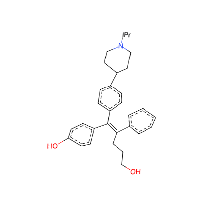 CC(C)N1CCC(c2ccc(/C(=C(/CCCO)c3ccccc3)c3ccc(O)cc3)cc2)CC1